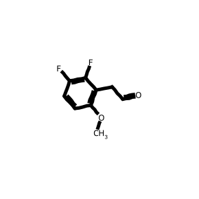 COc1ccc(F)c(F)c1[CH]C=O